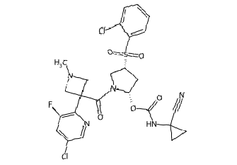 CN1CC(C(=O)N2C[C@H](S(=O)(=O)c3ccccc3Cl)C[C@@H]2OC(=O)NC2(C#N)CC2)(c2ncc(Cl)cc2F)C1